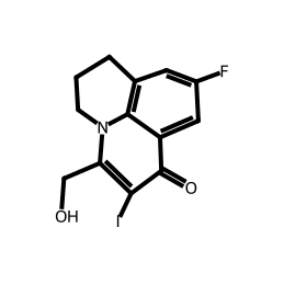 O=c1c(I)c(CO)n2c3c(cc(F)cc13)CCC2